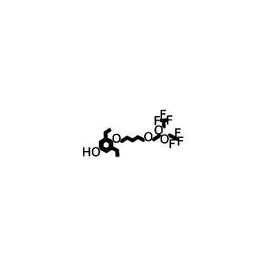 CCc1cc(O)cc(CC)c1OCCCCCOCC(OCC(F)(F)F)OCC(F)(F)F